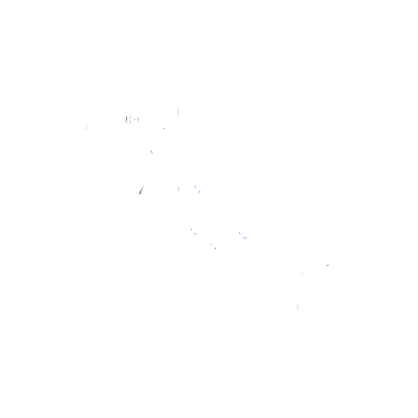 C#C[C@]1(CO[Si](C)(C)C(C)(C)C)O[C@@H](n2ccc3c(NC(=O)CCC45CC6CC(CC(C6)C4)C5)nc(Cl)nc32)C[C@@H]1O[Si](C)(C)C(C)(C)C